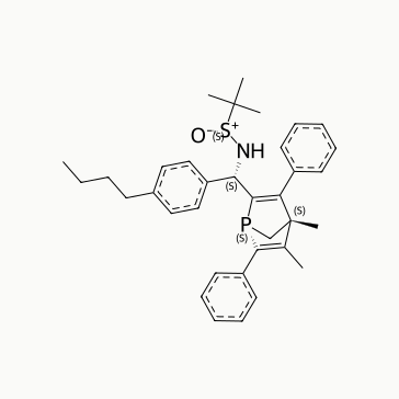 CCCCc1ccc([C@H](N[S@+]([O-])C(C)(C)C)C2=C(c3ccccc3)[C@@]3(C)C[P@]2C(c2ccccc2)=C3C)cc1